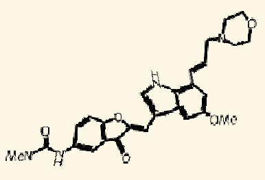 CNC(=O)Nc1ccc2c(c1)C(=O)C(=Cc1c[nH]c3c(C=CCN4CCOCC4)cc(OC)cc13)O2